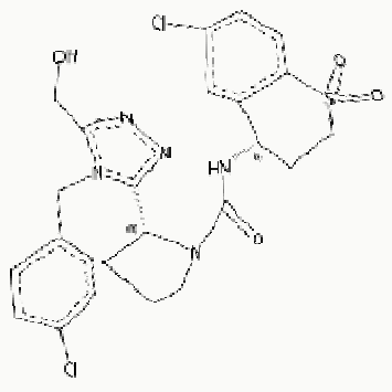 O=C(N[C@H]1CCS(=O)(=O)c2ccc(Cl)cc21)N1CCC[C@@H]1c1nnc(CO)n1Cc1ccc(Cl)cc1